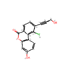 O=c1oc2cc(O)ccc2c2c(F)c(C#CCO)ccc12